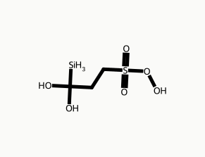 O=S(=O)(CCC(O)(O)[SiH3])OO